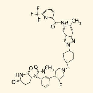 Cc1cc2nn(C3CCC(CN4CCC(c5cccc6c5n(C)c(=O)n6C5CCC(=O)NC5=O)C(F)C4)CC3)cc2cc1NC(=O)c1cccc(C(F)(F)F)n1